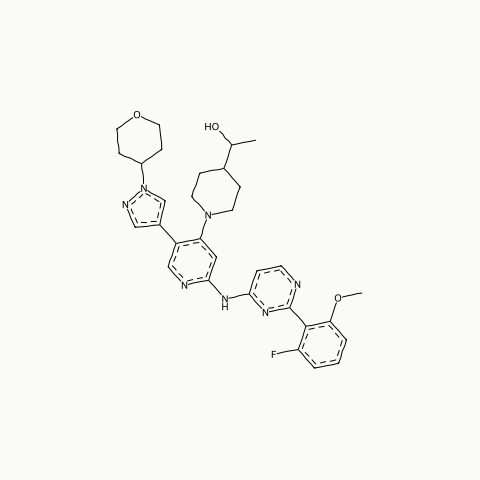 COc1cccc(F)c1-c1nccc(Nc2cc(N3CCC(C(C)O)CC3)c(-c3cnn(C4CCOCC4)c3)cn2)n1